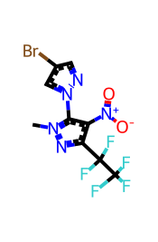 Cn1nc(C(F)(F)C(F)(F)F)c([N+](=O)[O-])c1-n1cc(Br)cn1